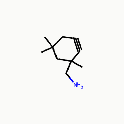 CC1(C)CC#CC(C)(CN)C1